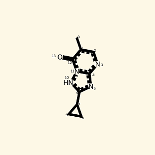 Cc1cnc2nc(C3CC3)[nH]n2c1=O